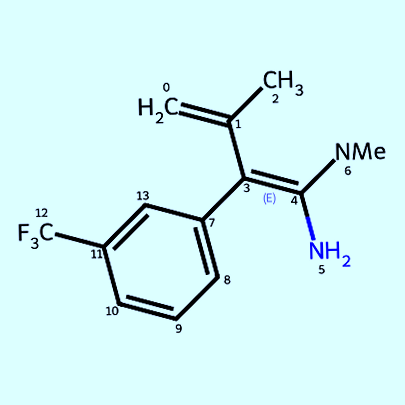 C=C(C)/C(=C(/N)NC)c1cccc(C(F)(F)F)c1